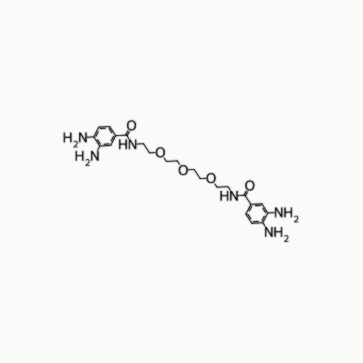 Nc1ccc(C(=O)NCCOCCOCCOCCNC(=O)c2ccc(N)c(N)c2)cc1N